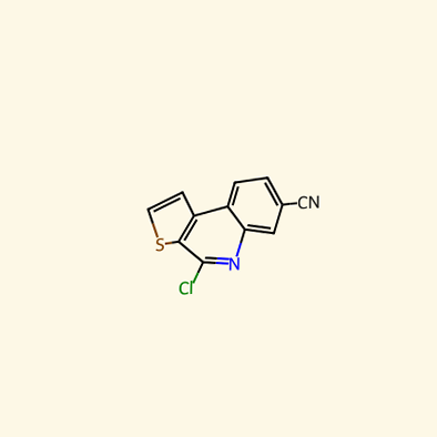 N#Cc1ccc2c(c1)nc(Cl)c1sccc12